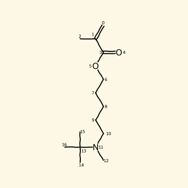 C=C(C)C(=O)OCCCCCN(C)C(C)(C)C